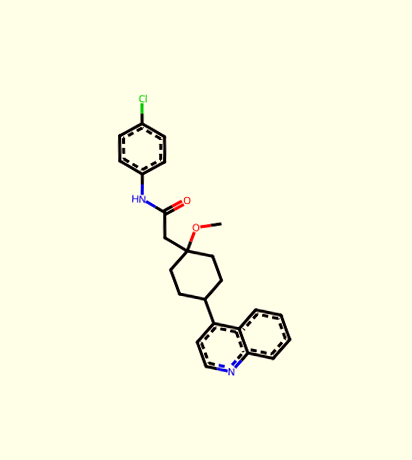 COC1(CC(=O)Nc2ccc(Cl)cc2)CCC(c2ccnc3ccccc23)CC1